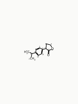 CC(C)c1ccc(C2CCOC2=O)cc1